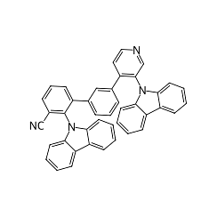 N#Cc1cccc(-c2cccc(-c3ccncc3-n3c4ccccc4c4ccccc43)c2)c1-n1c2ccccc2c2ccccc21